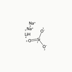 O=[Si]([O-])[O-].[LiH].[Na+].[Na+]